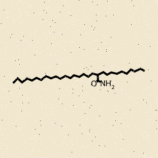 CCCCCCCCCCCCCCCCCCC(CCCCCCCCCC)C(N)=O